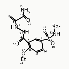 C=C(NNC(=O)c1cc(S(=O)(=O)NCCC)ccc1OCC)C(N)=O